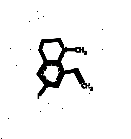 C=Cc1cc(I)cc2c1N(C)CCC2